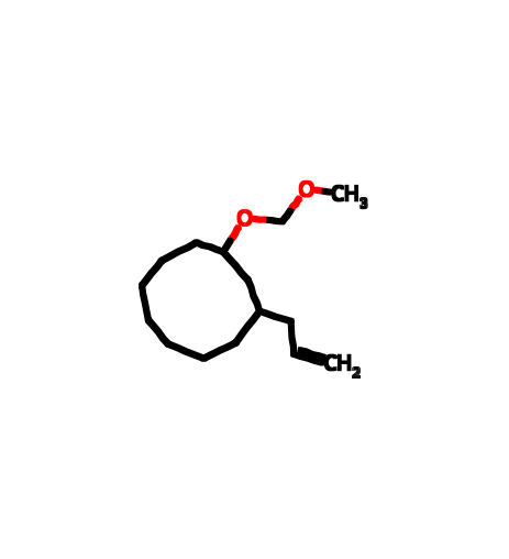 C=CCC1CCCCCCCC(OCOC)C1